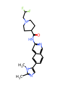 Cc1ncc(-c2ccc3cnc(NC(=O)C4CCN(CC(F)F)CC4)cc3c2)n1C